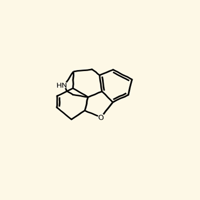 C1=CC2C3Cc4cccc5c4C2(CCN3)C(C1)O5